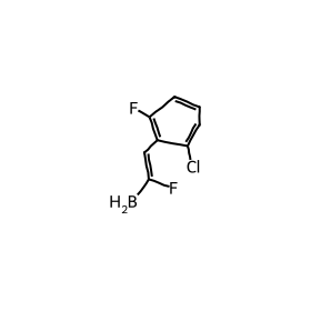 B/C(F)=C/c1c(F)cccc1Cl